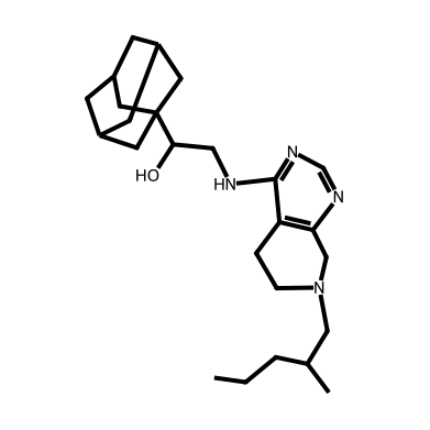 CCCC(C)CN1CCc2c(ncnc2NCC(O)C23CC4CC(CC(C4)C2)C3)C1